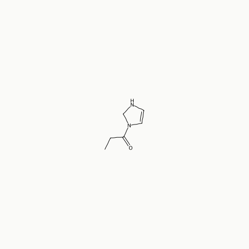 CCC(=O)N1C=CNC1